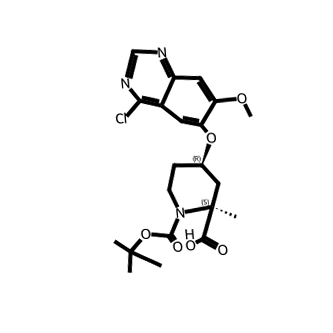 COc1cc2ncnc(Cl)c2cc1O[C@@H]1CCN(C(=O)OC(C)(C)C)[C@](C)(C(=O)O)C1